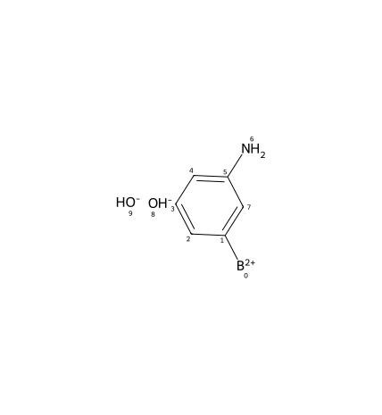 [B+2]c1cccc(N)c1.[OH-].[OH-]